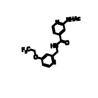 CC(=O)Nc1cc(C(=O)NCc2cc(OCC(F)(F)F)ccn2)ccn1